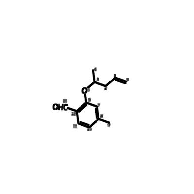 C=CCC(C)Oc1cc(C)ccc1C=O